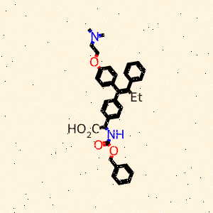 CC/C(=C(/c1ccc(OCCN(C)C)cc1)c1ccc(C(NC(=O)OCc2ccccc2)C(=O)O)cc1)c1ccccc1